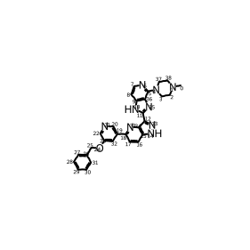 CN1CCN(c2nccc3[nH]c(-c4n[nH]c5ccc(-c6cncc(OCc7ccccc7)c6)nc45)nc23)CC1